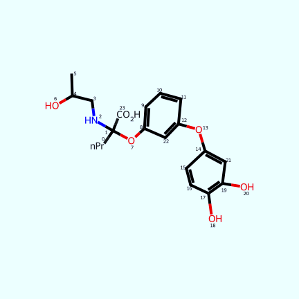 CCCC(NCC(C)O)(Oc1cccc(Oc2ccc(O)c(O)c2)c1)C(=O)O